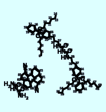 CCCCCCO[N+](OCCCCCC)(c1ccccc1)c1ccc(CCCNC(=O)NC(=O)NCCCc2ccc([N+](OCCCCCC)(OCCCCCC)c3ccccc3)cc2)cc1.N#Cc1ccc2cccc3c4c(C#N)ccc5cccc(c1c23)c54.NC(=O)NC(N)=O